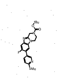 CSc1ccc(-c2cc3c(cc2F)nc2n3CCN(C(=O)OC(C)(C)C)C2)cn1